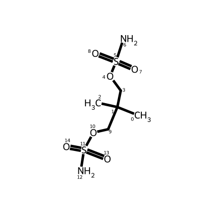 CC(C)(COS(N)(=O)=O)COS(N)(=O)=O